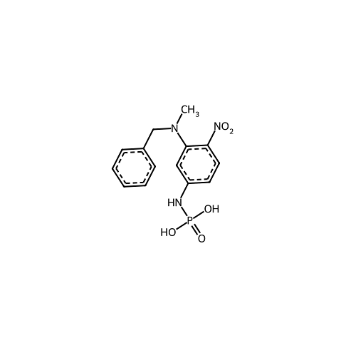 CN(Cc1ccccc1)c1cc(NP(=O)(O)O)ccc1[N+](=O)[O-]